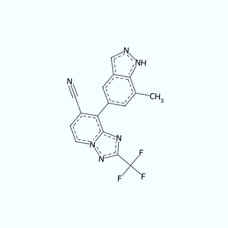 Cc1cc(-c2c(C#N)ccn3nc(C(F)(F)F)nc23)cc2cn[nH]c12